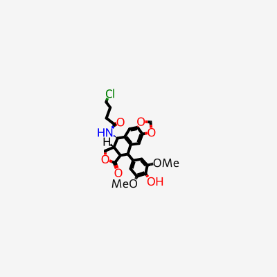 COc1cc(C2c3cc4c(cc3[C@@H](NC(=O)CCCCl)[C@H]3COC(=O)C23)OCO4)cc(OC)c1O